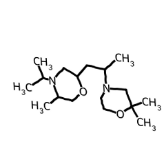 CC(CC1CN(C(C)C)C(C)CO1)N1CCOC(C)(C)C1